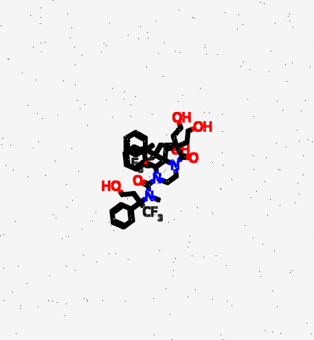 Cc1ccccc1C1N(C(=O)N(C)C(CCO)(c2ccccc2)C(F)(F)F)CCN2C(=O)C(CCO)(CCO)CC12C(CCO)(c1ccccc1)C(F)(F)F